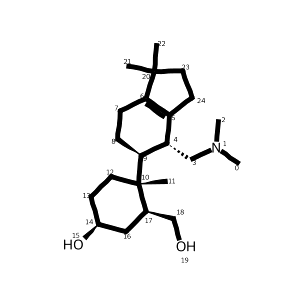 CN(C)C[C@H]1C2=C(CC[C@@H]1[C@@]1(C)CC[C@H](O)C[C@@H]1CO)C(C)(C)CC2